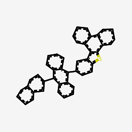 c1ccc2cc(-c3c4ccccc4c(-c4ccc5sc6c7ccccc7c7ccccc7c6c5c4)c4ccccc34)ccc2c1